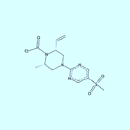 C=C[C@@H]1CN(c2ncc(S(C)(=O)=O)cn2)C[C@H](C)N1C(=O)Cl